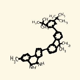 Cc1ccc2c(c1)C(=N)C(=N)c1cc(-c3ccc4c(c3)-c3cc(-c5cc(C(C)(C)C)cc(C(C)(C)C)c5)ccc3C4(C)C)ccc1-2